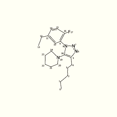 CCCCCc1nnn(-c2cc(CC)ccc2F)c1N1CCCCC1